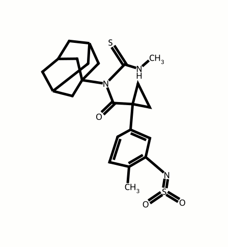 CNC(=S)N(C(=O)C1(c2ccc(C)c(N=S(=O)=O)c2)CC1)C12CC3CC(CC(C3)C1)C2